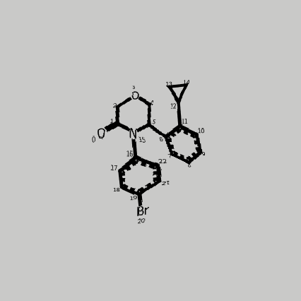 O=C1COCC(c2ccccc2C2CC2)N1c1ccc(Br)cc1